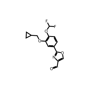 O=[C]c1coc(-c2ccc(OC(F)F)c(OCC3CC3)c2)n1